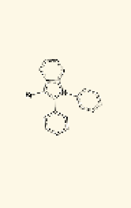 Brc1c(-c2ccccc2)n(-c2ccccc2)c2ccccc12